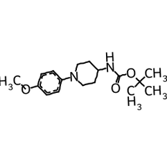 COc1ccc(N2CCC(NC(=O)OC(C)(C)C)CC2)cc1